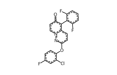 O=c1ccn2nc(Oc3ccc(F)cc3Cl)ccc2c1-c1c(F)cccc1F